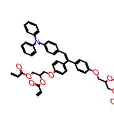 C=CC(=O)OCC(COc1ccc(C(=Cc2ccc(N(c3ccccc3)c3ccccc3)cc2)c2ccc(OCC(COC(=O)C=C)OC(=O)C=C)cc2)cc1)OC(=O)C=C